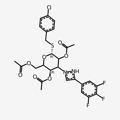 CC(=O)OCC1O[C@H](SCc2ccc(Cl)cc2)C(OC(C)=O)C(n2cc(-c3cc(F)c(F)c(F)c3)[nH]2)[C@H]1OC(C)=O